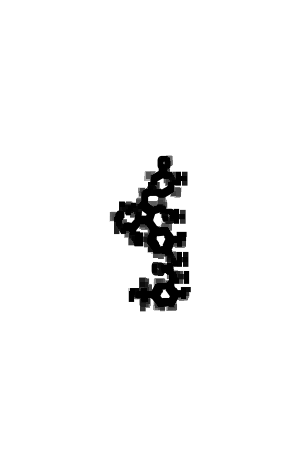 Nc1ncnn2c(CN3CCNC(=O)C3)c(CO)c(-c3ccc(NC(=O)Nc4cc(C(F)(F)F)ccc4F)c(F)c3)c12